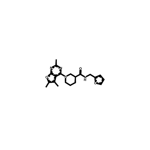 Cc1nc(N2CCCC(C(=O)NCc3ccco3)C2)c2c(C)c(C)oc2n1